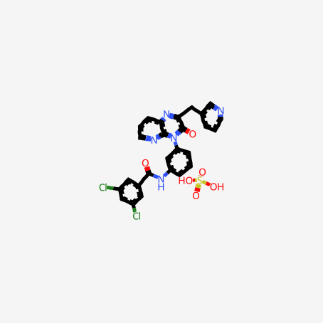 O=C(Nc1cccc(-n2c(=O)c(Cc3cccnc3)nc3cccnc32)c1)c1cc(Cl)cc(Cl)c1.O=S(=O)(O)O